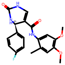 COc1cc(C)c(NC(=O)C2=CNC(=O)N[C@@H]2c2ccc(F)cc2)cc1OC